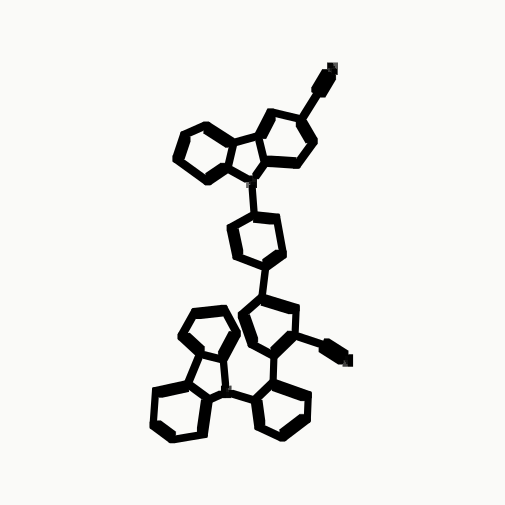 N#Cc1ccc2c(c1)c1ccccc1n2-c1ccc(-c2ccc(-c3ccccc3-n3c4ccccc4c4ccccc43)c(C#N)c2)cc1